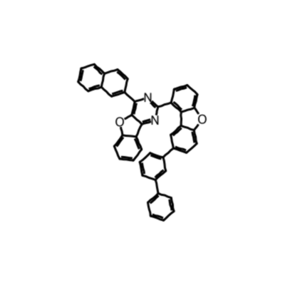 c1ccc(-c2cccc(-c3ccc4oc5cccc(-c6nc(-c7ccc8ccccc8c7)c7oc8ccccc8c7n6)c5c4c3)c2)cc1